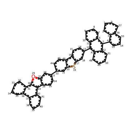 c1ccc2c(-c3c4ccccc4c(-c4ccc5c(c4)sc4cc(-c6ccc7c(c6)oc6c8ccccc8c8ccccc8c76)ccc45)c4ccccc34)cccc2c1